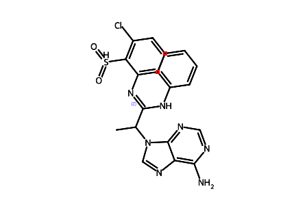 CC(/C(=N/c1cccc(Cl)c1[SH](=O)=O)Nc1ccccc1)n1cnc2c(N)ncnc21